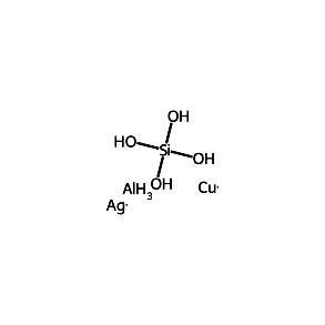 O[Si](O)(O)O.[Ag].[AlH3].[Cu]